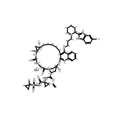 C=C[C@@H]1C[C@]1(NC(=O)[C@@H]1C[C@@H]2CN1C(=O)[C@H](C(C)(C)C)NC(=O)O[C@@H]1C[C@H]1CCCCCc1c(nc3ccccc3c1OCCCN1CCCCC1c1nc3cc(F)ccc3[nH]1)O2)C(=O)NS(=O)(=O)C1(C)CC1